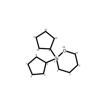 C1CC[Si](C2CCCC2)(C2CCCC2)OC1